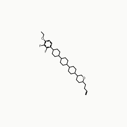 C=CCCC1CCC(C2CCC(C3CCC(C4CCC(c5ccc(OCC)c(F)c5F)CC4)CC3)CC2)CO1